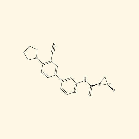 N#Cc1cc(-c2ccnc(NC(=O)[C@H]3C[C@H]3F)c2)ccc1N1CCCC1